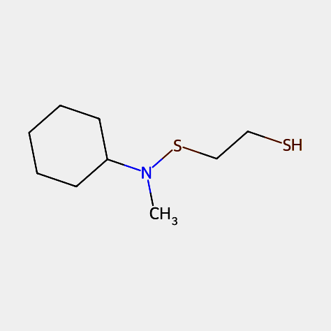 CN(SCCS)C1CCCCC1